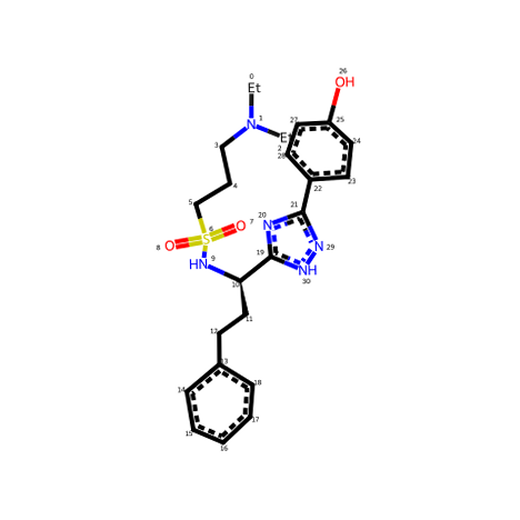 CCN(CC)CCCS(=O)(=O)N[C@H](CCc1ccccc1)c1nc(-c2ccc(O)cc2)n[nH]1